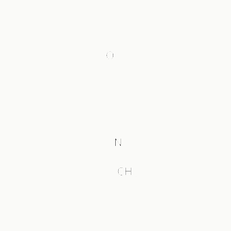 CN1c2ccccc2C(=O)C2C=CC=CC21